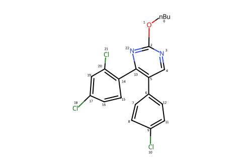 CCCCOc1ncc(-c2ccc(Cl)cc2)c(-c2ccc(Cl)cc2Cl)n1